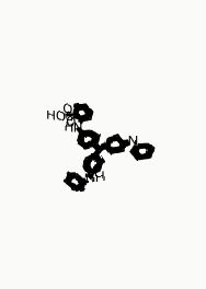 O=S(=O)(O)c1ccccc1Nc1ccc(C(=C2C=CC(=Nc3ccccc3)C=C2)c2ccc(Nc3ccccc3)cc2)cc1